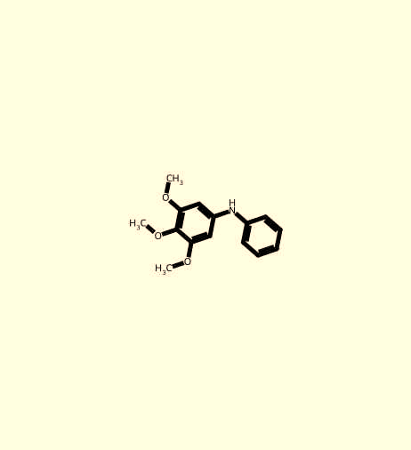 COc1cc(Nc2cc[c]cc2)cc(OC)c1OC